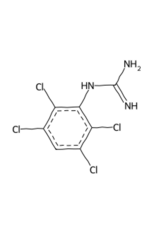 N=C(N)Nc1c(Cl)c(Cl)cc(Cl)c1Cl